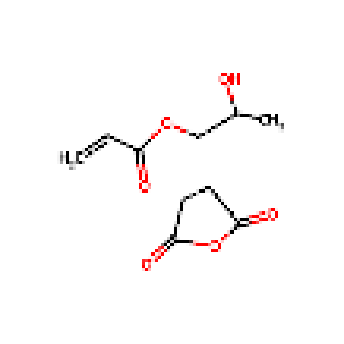 C=CC(=O)OCC(C)O.O=C1CCC(=O)O1